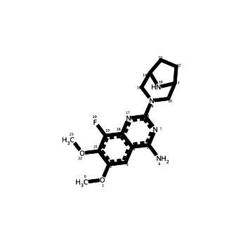 COc1cc2c(N)nc(N3CC4CCC(C3)N4)nc2c(F)c1OC